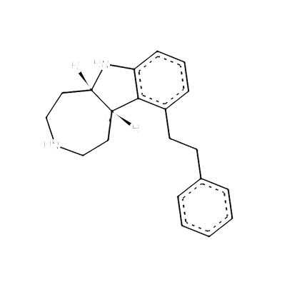 c1ccc(CCc2cccc3c2[C@@H]2CCNCC[C@@H]2N3)cc1